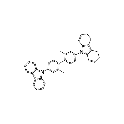 Cc1cc(-n2c3c(c4c2C=CCC4)CCC=C3)ccc1-c1ccc(-n2c3ccccc3c3ccccc32)cc1C